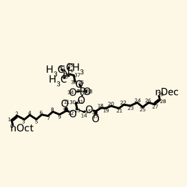 CCCCCCCC/C=C\CCCCCCCC(=O)O[C@H](COC(=O)CCCCCCCCC/C=C\CCCCCCCCCC)COP(=O)([O-])OCC[N+](C)(C)C